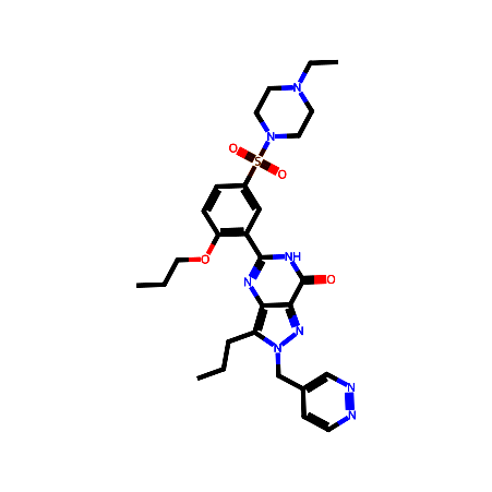 CCCOc1ccc(S(=O)(=O)N2CCN(CC)CC2)cc1-c1nc2c(CCC)n(Cc3ccnnc3)nc2c(=O)[nH]1